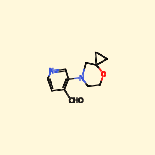 O=Cc1ccncc1N1CCOC2(CC2)C1